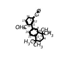 CC1(C)CCC(C)(C)c2cc(C3=CC(=C=O)CC=C3C=O)ccc21